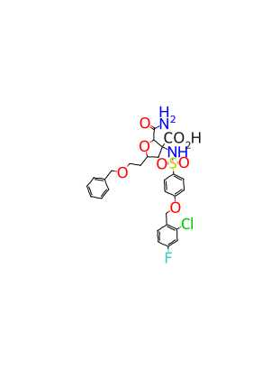 NC(=O)C1OC(CCOCc2ccccc2)CC1(NS(=O)(=O)c1ccc(OCc2ccc(F)cc2Cl)cc1)C(=O)O